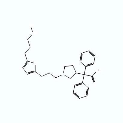 CC(C)NCCCc1ccc(CCCN2CCC(C(C(N)=O)(c3ccccc3)c3ccccc3)C2)s1